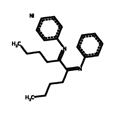 CCCCC(=Nc1ccccc1)C(CCCC)=Nc1ccccc1.[Ni]